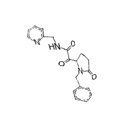 O=C(NCc1ccccn1)C(=O)C1CCC(=O)N1Cc1ccccc1